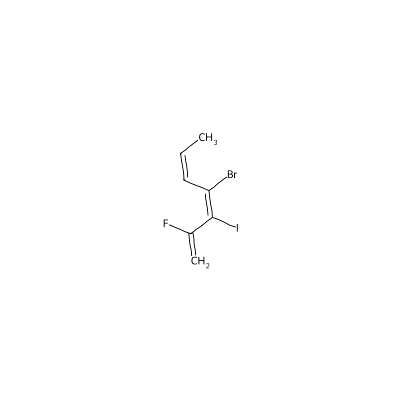 C=C(F)/C(I)=C(Br)\C=C/C